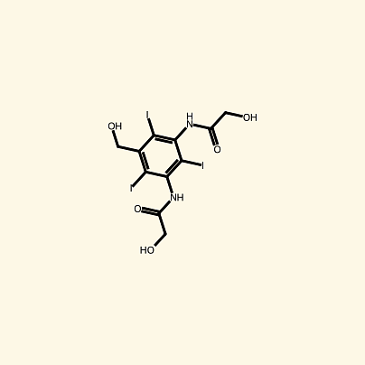 O=C(CO)Nc1c(I)c(CO)c(I)c(NC(=O)CO)c1I